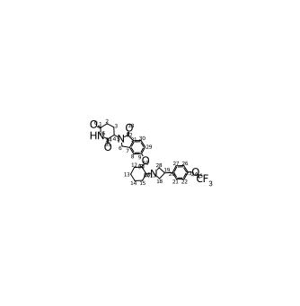 O=C1CCC(N2Cc3cc(O[C@@H]4CCCC[C@@H]4N4CC(c5ccc(OC(F)(F)F)cc5)C4)ccc3C2=O)C(=O)N1